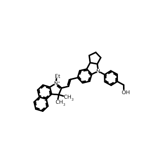 CC[N+]1=C(/C=C/c2ccc3c(c2)C2CCCC2N3c2ccc(CO)cc2)C(C)(C)c2c1ccc1ccccc21